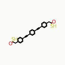 O=C(S)Cc1ccc(C#Cc2ccc(C#Cc3ccc(CC(=O)S)cc3)cc2)cc1